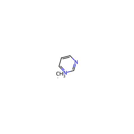 [CH3].c1cncnc1